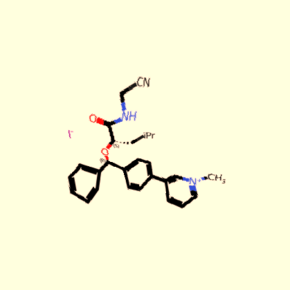 CC(C)C[C@H](O[C@H](c1ccccc1)c1ccc(-c2ccc[n+](C)c2)cc1)C(=O)NCC#N.[I-]